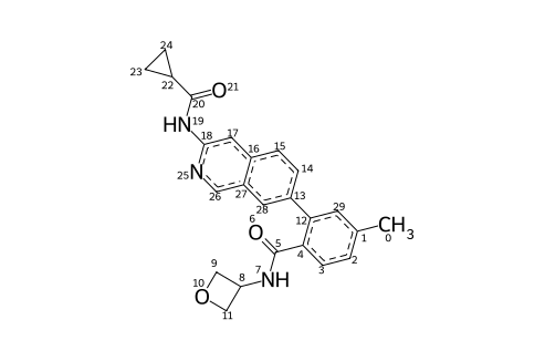 Cc1ccc(C(=O)NC2COC2)c(-c2ccc3cc(NC(=O)C4CC4)ncc3c2)c1